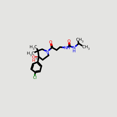 CC(C)NC(=O)NCCC(=O)N1CC[C@](O)(c2ccc(Cl)cc2)C(C)(C)C1